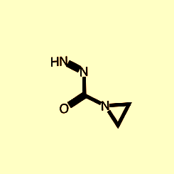 N=NC(=O)N1CC1